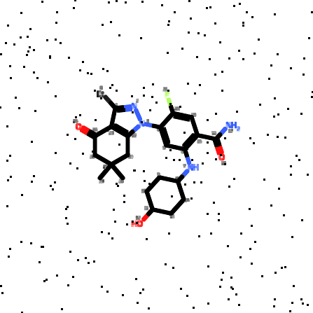 CCc1nn(-c2cc(NC3CCC(O)CC3)c(C(N)=O)cc2F)c2c1C(=O)CC(C)(C)C2